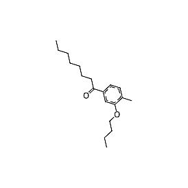 CCCCCCCC(=O)c1ccc(C)c(OCCCC)c1